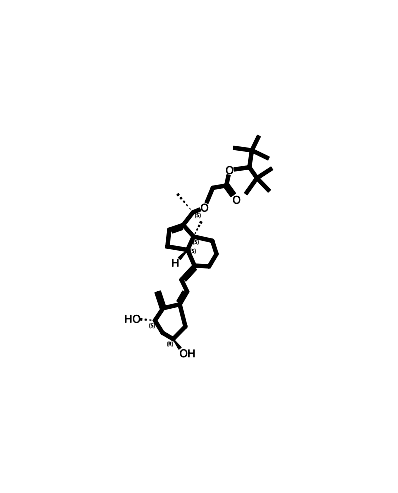 C=C1C(=CC=C2CCC[C@]3(C)C([C@H](C)OCC(=O)OC(C(C)(C)C)C(C)(C)C)=CC[C@@H]23)C[C@@H](O)C[C@@H]1O